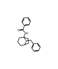 O=C(NC12CCCC(CC1)N2Cc1ccccc1)c1ccccc1